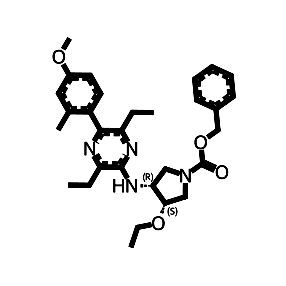 CCO[C@H]1CN(C(=O)OCc2ccccc2)C[C@H]1Nc1nc(CC)c(-c2ccc(OC)cc2C)nc1CC